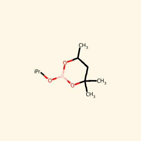 CC(C)OB1OC(C)CC(C)(C)O1